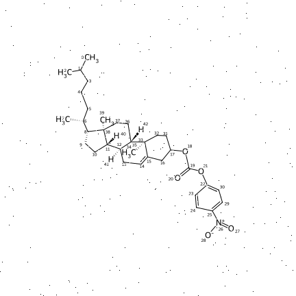 CC(C)CCC[C@@H](C)[C@H]1CC[C@H]2[C@@H]3CC=C4CC(OC(=O)Oc5ccc([N+](=O)[O-])cc5)CC[C@]4(C)[C@H]3CC[C@]12C